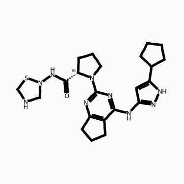 O=C(NN1CNCS1)[C@@H]1CCCN1c1nc2c(c(Nc3cc(C4CCCC4)[nH]n3)n1)CCC2